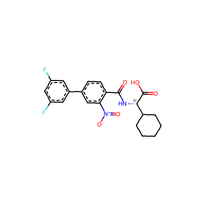 O=C(N[C@H](C(=O)O)C1CCCCC1)c1ccc(-c2cc(F)cc(F)c2)cc1[N+](=O)[O-]